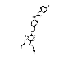 CCCC[C@H](NC(=O)OCc1ccc(NC(=O)Cc2ccc(F)cc2)cc1)C(=O)OCC#N